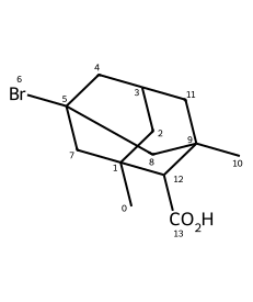 CC12CC3CC(Br)(C1)CC(C)(C3)C2C(=O)O